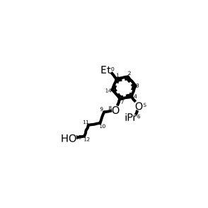 CCc1ccc(OC(C)C)c(OCCCCO)c1